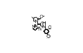 COC[C@@H]1C[C@H](C)CN1c1c(C)c(Nc2ccc(OC)cc2Cl)nc2ccnn12